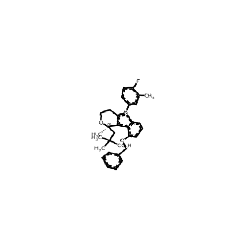 Cc1cc(-n2c3c(c4c(OCc5ccccc5)cccc42)[C@@](C)(CC(C)(C)C(=O)O)OCC3)ccc1F